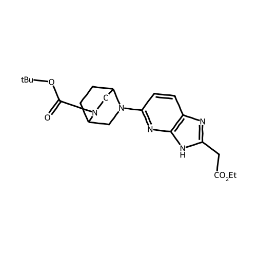 CCOC(=O)Cc1nc2ccc(N3CC4CCC3CN4C(=O)OC(C)(C)C)nc2[nH]1